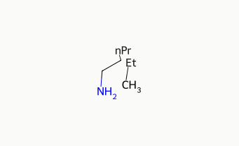 CCC.CCCCCN